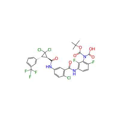 CC(C)(C)OC(=O)N(C(=O)O)c1c(F)ccc(NC(=O)c2cc(NC(=O)[C@H]3[C@H](c4cccc(C(F)(F)F)c4)C3(Cl)Cl)ccc2Cl)c1F